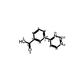 O=C(O)c1ccc[n+](-c2ccnnn2)c1